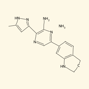 Cc1cc(-c2ncc(-c3ccc4c(c3)NCCC4)nc2N)n[nH]1.N